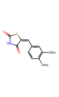 COc1ccc(/C=C2/SC(=O)NC2=O)cc1OC